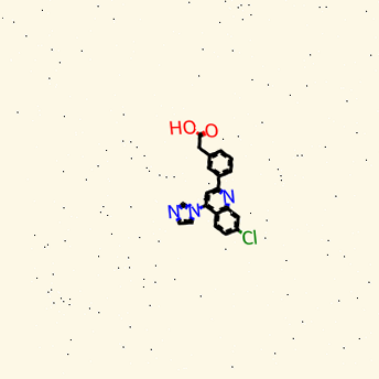 O=C(O)Cc1cccc(-c2cc(-n3ccnc3)c3ccc(Cl)cc3n2)c1